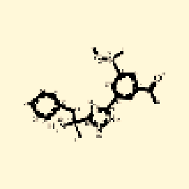 CSN(C)c1cc(C(C)=O)cc(-c2nnc([C@](C)(N)Cc3ccccc3)o2)c1